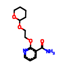 NC(=O)c1cccnc1OCCOC1CCCCO1